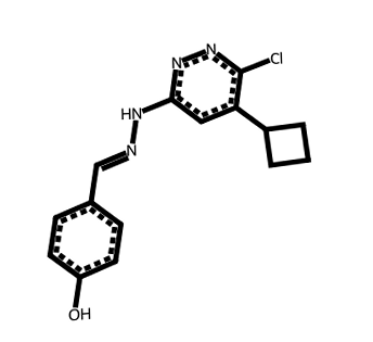 Oc1ccc(C=NNc2cc(C3CCC3)c(Cl)nn2)cc1